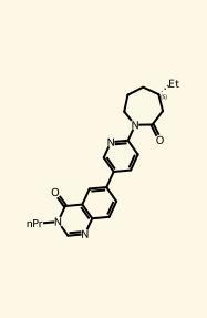 CCCn1cnc2ccc(-c3ccc(N4CCC[C@H](CC)CC4=O)nc3)cc2c1=O